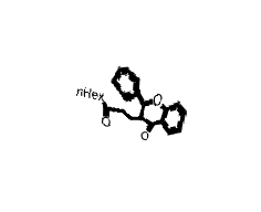 CCCCCCC(=O)CCC1C(=O)c2ccccc2OC1c1ccccc1